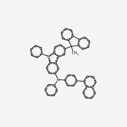 CC1(c2ccc3c(c2)c2cc(N(c4ccccc4)c4ccc(-c5cccc6ccccc56)cc4)ccc2n3-c2ccccc2)c2ccccc2-c2ccccc21